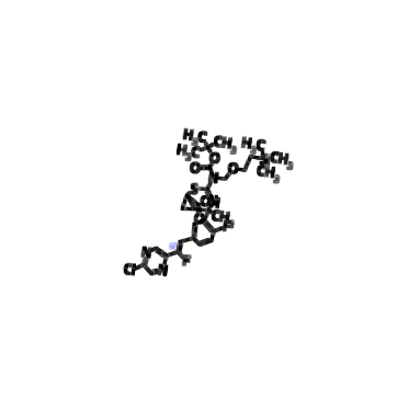 CC(C)(C)OC(=O)N(COCC[Si](C)(C)C)C1=NC(C)(c2cc(/C=C(\F)c3cnc(Cl)cn3)ccc2F)C2CC2(C(=O)O)S1